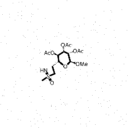 CO[C@H]1O[C@H](CCS(C)(=N)=O)[C@@H](OC(C)=O)[C@H](OC(C)=O)[C@@H]1OC(C)=O